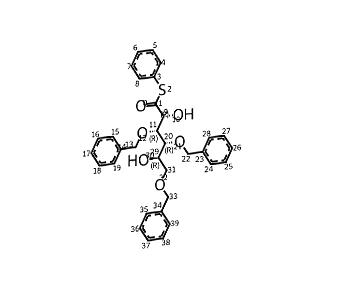 O=C(Sc1ccccc1)[C@H](O)[C@@H](OCc1ccccc1)[C@H](OCc1ccccc1)[C@H](O)COCc1ccccc1